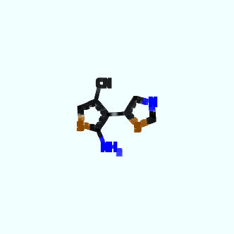 N#Cc1csc(N)c1-c1cncs1